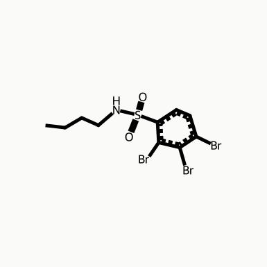 CCCCNS(=O)(=O)c1ccc(Br)c(Br)c1Br